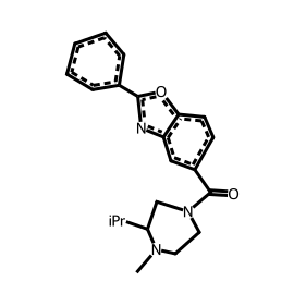 CC(C)C1CN(C(=O)c2ccc3oc(-c4ccccc4)nc3c2)CCN1C